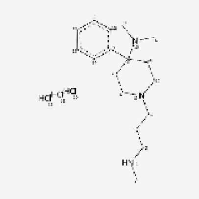 CNCCCN1CCC(c2ccccc2)(N(C)C)CC1.Cl.Cl.Cl